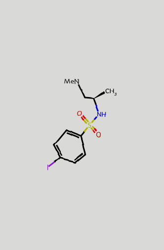 CNC[C@@H](C)NS(=O)(=O)c1ccc(I)cc1